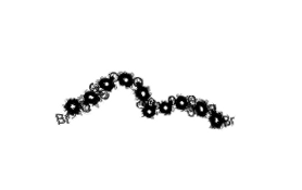 O=S(=O)(c1ccc(Oc2ccc(Oc3ccc(S(=O)(=O)c4ccccc4Oc4cccc(Oc5ccc(S(=O)(=O)c6ccc(Oc7cccc(Br)c7)cc6)cc5)c4)cc3)cc2)cc1)c1ccc(Oc2cccc(Br)c2)cc1